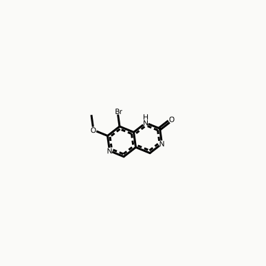 COc1ncc2cnc(=O)[nH]c2c1Br